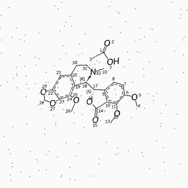 CC(=O)O.COc1ccc2c(c1OC)C(=O)O[C@@H]2[C@H]1c2c(cc3c(c2OC)OCO3)CCN1C